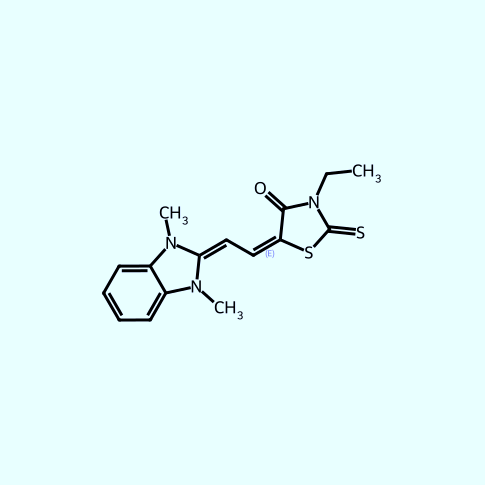 CCN1C(=O)/C(=C\C=C2N(C)c3ccccc3N2C)SC1=S